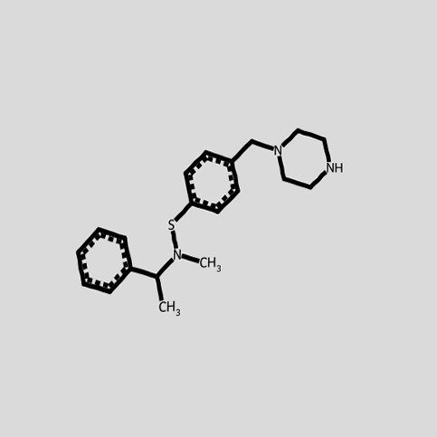 CC(c1ccccc1)N(C)Sc1ccc(CN2CCNCC2)cc1